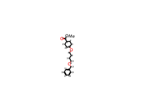 COC(=O)C1CCC(OCCCCOCc2ccccc2)CC1